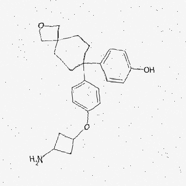 NC1CC(Oc2ccc(C3(c4ccc(O)cc4)CCC4(CC3)COC4)cc2)C1